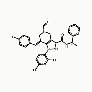 C[C@@H](NC(=O)C1NN(c2ccc(Cl)cc2Cl)C2=C1CN(C=O)C/C2=C\c1ccc(F)cc1)c1ccccc1